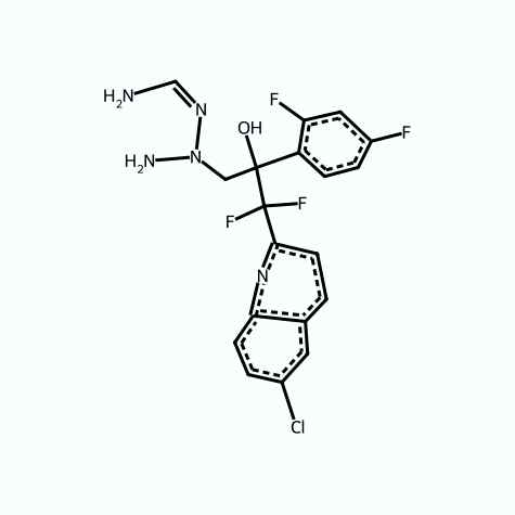 N/C=N\N(N)CC(O)(c1ccc(F)cc1F)C(F)(F)c1ccc2cc(Cl)ccc2n1